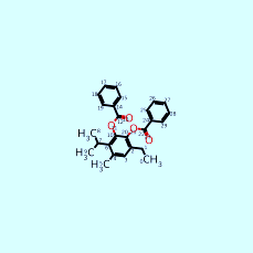 CCc1cc(C)c(C(C)C)c(OC(=O)c2ccccc2)c1OC(=O)c1ccccc1